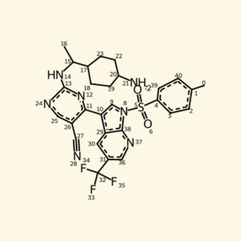 Cc1ccc(S(=O)(=O)n2cc(-c3nc(NC(C)C4CCC(N)CC4)ncc3C#N)c3cc(C(F)(F)F)cnc32)cc1